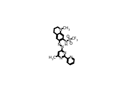 Cc1cc(/N=N/c2cc3c(cc2NS(=O)(=O)C(F)(F)F)N(C)CCC3)nc(-c2ccccn2)n1